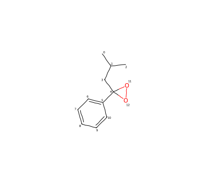 C[C](C)CC1(c2ccccc2)OO1